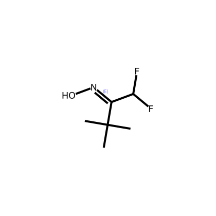 CC(C)(C)/C(=N\O)C(F)F